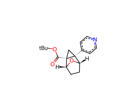 CC(C)(C)OC(=O)[C@]12C[C@@]1(c1ccncc1)[C@@H]1CC[C@H]2O1